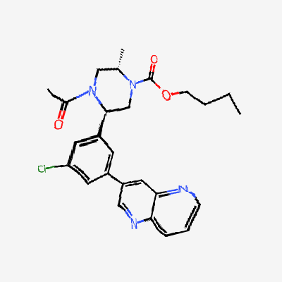 CCCCOC(=O)N1C[C@@H](c2cc(Cl)cc(-c3cnc4cccnc4c3)c2)N(C(C)=O)C[C@@H]1C